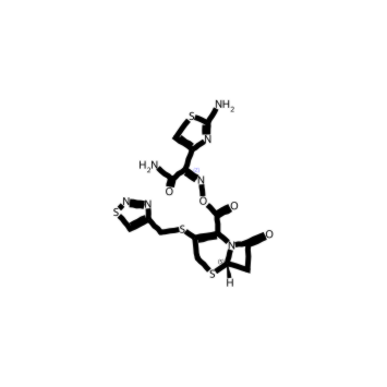 NC(=O)/C(=N\OC(=O)C1=C(SCc2csnn2)CS[C@H]2CC(=O)N12)c1csc(N)n1